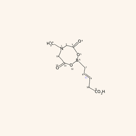 CN1CC(=O)OB(C/C=C/CC(=O)O)OC(=O)C1